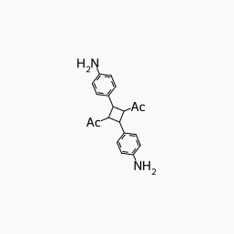 CC(=O)C1C(c2ccc(N)cc2)C(C(C)=O)C1c1ccc(N)cc1